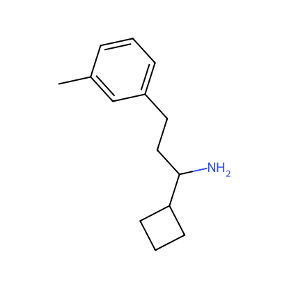 Cc1cccc(CCC(N)C2CCC2)c1